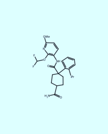 COc1ccc(NC(=O)C2(c3ccccc3C(C)C)CCC(C(N)=O)CC2)c(OC(F)F)n1